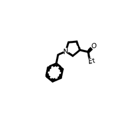 CCC(=O)C1CCN(Cc2ccccc2)C1